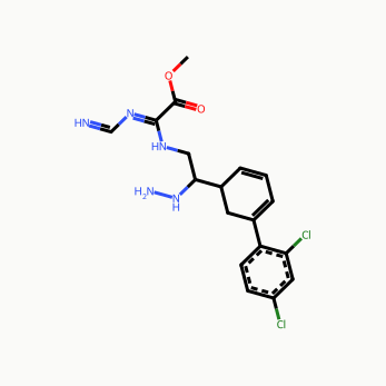 COC(=O)/C(=N/C=N)NCC(NN)C1C=CC=C(c2ccc(Cl)cc2Cl)C1